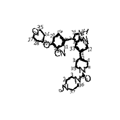 CN1CCN(C(=O)N2CC=C(c3cnc4[nH]cc(-c5ccc(OC6CCOCC6)c(C#N)c5)c4c3)CC2)CC1